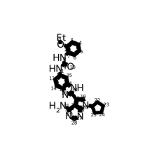 CCOc1ccccc1NC(=O)Nc1ccc2nc(-c3cn(C4CCCC4)c4ncnc(N)c34)[nH]c2c1